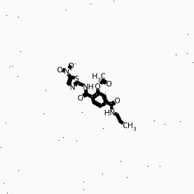 CCCNC(=O)c1ccc(C(=O)Nc2ncc([N+](=O)[O-])s2)c(OC(C)=O)c1